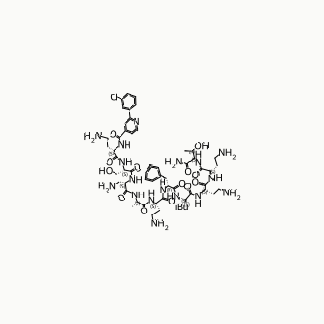 CC[C@H](C)[C@H](NC(=O)[C@@H](Cc1ccccc1)NC(=O)[C@H](CCN)NC(=O)[C@H](C)NC(=O)[C@H](CN)NC(=O)[C@H](CO)NC(=O)[C@H](CCN)NC(=O)c1ccnc(-c2cccc(Cl)c2)c1)C(=O)N[C@@H](CCN)C(=O)N[C@@H](CCN)C(=O)N[C@H](C(N)=O)[C@@H](C)O